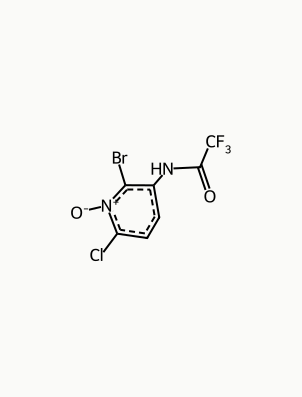 O=C(Nc1ccc(Cl)[n+]([O-])c1Br)C(F)(F)F